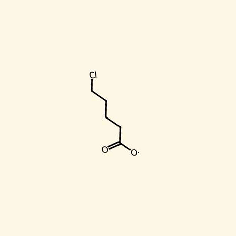 [O]C(=O)CCCCCl